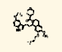 C=CCOc1cc2c(cc1OC)CCN(C(=O)N1CCOCC1)C2CCc1c[nH]c2ccc(OC)cc12